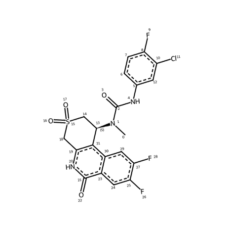 CN(C(=O)Nc1ccc(F)c(Cl)c1)[C@@H]1CS(=O)(=O)Cc2[nH]c(=O)c3cc(F)c(F)cc3c21